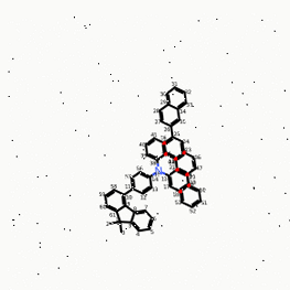 CC1(C)c2ccccc2-c2c(-c3ccc(N(c4ccccc4-c4ccc(-c5ccc6ccccc6c5)cc4)c4ccccc4-c4cccc(-c5ccccc5)c4)cc3)cccc21